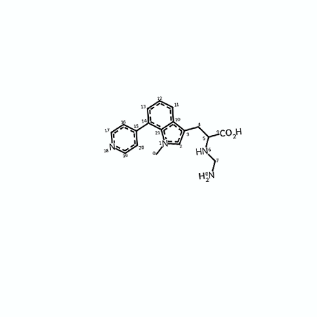 Cn1cc(CC(NCN)C(=O)O)c2cccc(-c3ccncc3)c21